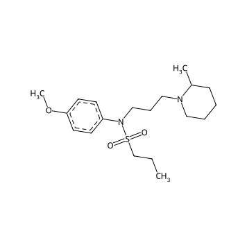 CCCS(=O)(=O)N(CCCN1CCCCC1C)c1ccc(OC)cc1